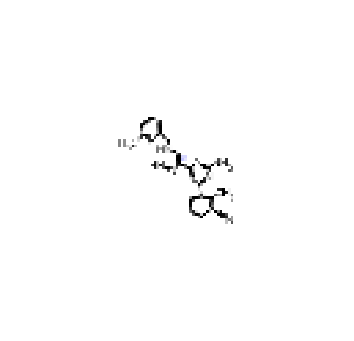 Cc1cccc(CN/C=C(\N=N)c2cc(-c3cccc(C#N)c3C)nc(N)n2)n1